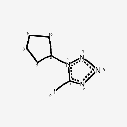 Ic1nnnn1C1CCCC1